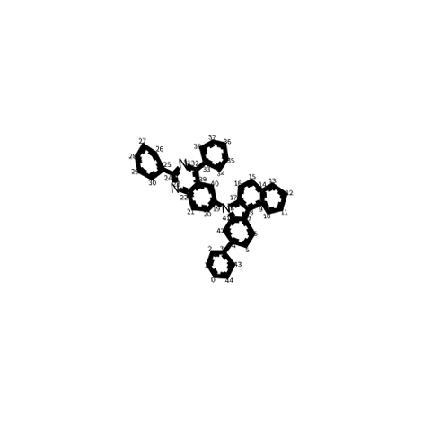 c1ccc(-c2ccc3c4c5ccccc5ccc4n(-c4ccc5nc(-c6ccccc6)nc(-c6ccccc6)c5c4)c3c2)cc1